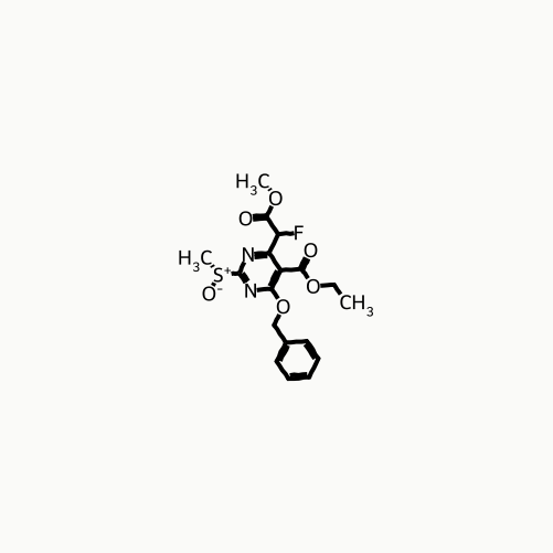 CCOC(=O)c1c(OCc2ccccc2)nc([S+](C)[O-])nc1C(F)C(=O)OC